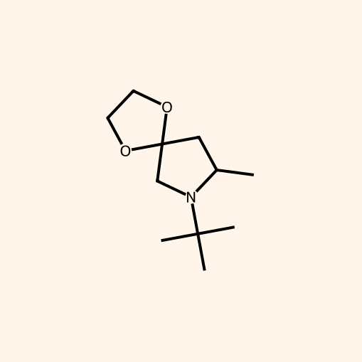 CC1CC2(CN1C(C)(C)C)OCCO2